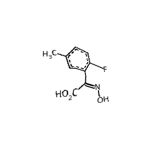 Cc1ccc(F)c(C(=NO)C(=O)O)c1